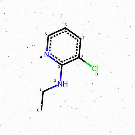 CCNc1nc[c]cc1Cl